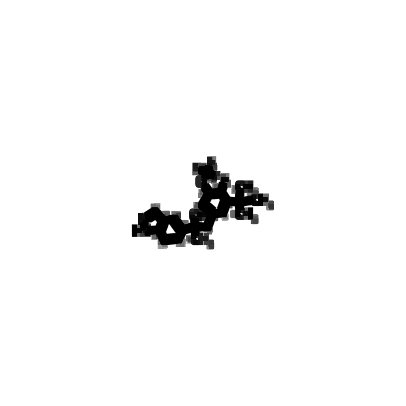 CC(C)(C)c1cc(CC(C)(C)c2ccc3[nH]ncc3c2)cc(OC(F)(F)F)c1F